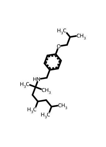 CC(C)COc1ccc(CNC(C)(C)CC(C)CC(C)C)cc1